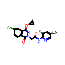 N#Cc1cnc(NC(=O)Cn2nc(OC3CC3)c3cc(Br)ccc3c2=O)c(F)c1